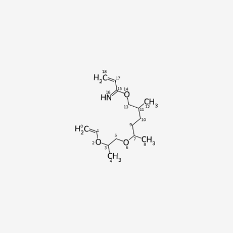 C=COC(C)COC(C)CCC(C)COC(=N)C=C